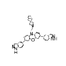 c1cc2c(cc1-c1ccc3[nH]ncc3c1)Oc1cc(-c3ccc4[nH]ncc4c3)ccc1N2CCN1CC2(COC2)C1